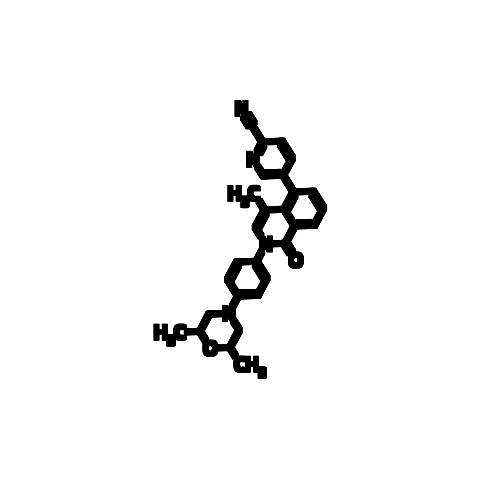 Cc1cn(-c2ccc(N3CC(C)OC(C)C3)cc2)c(=O)c2cccc(-c3ccc(C#N)nc3)c12